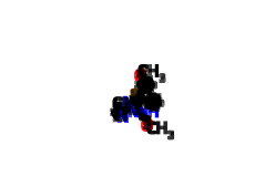 COCCNc1nc(-c2nccn2C)nc2sc(-c3cccc(OC)c3)c(-c3ccccc3)c12